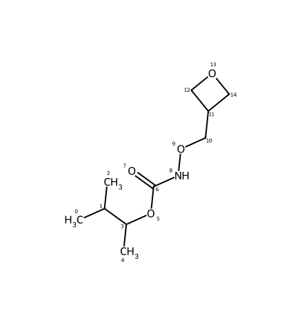 CC(C)C(C)OC(=O)NOCC1COC1